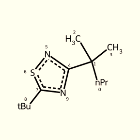 CCCC(C)(C)c1nsc(C(C)(C)C)n1